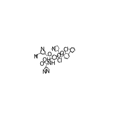 CC1C(c2ccccc2Cl)=CC=CC1(COc1cc(OCc2cncc(C#N)c2)c(CNC(C(=O)O)c2cnn(C)c2)cc1Cl)OCC1CCCN(C)C1